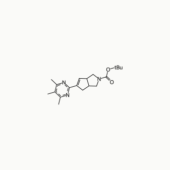 Cc1nc(C2=CC3CN(C(=O)OC(C)(C)C)CC3C2)nc(C)c1C